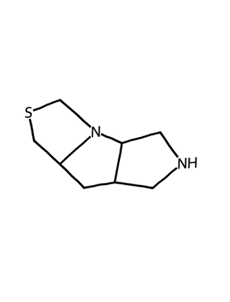 C1NCC2C1CC1CSCN12